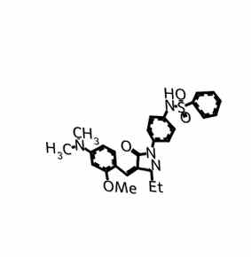 CCC1=NN(c2ccc(NS(=O)(=O)c3ccccc3)cc2)C(=O)C1=Cc1ccc(N(C)C)cc1OC